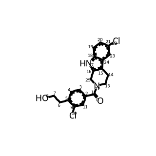 O=C(c1ccc(CCO)c(Cl)c1)N1CCc2c([nH]c3ccc(Cl)cc23)C1